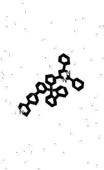 c1ccc(-c2cc(-c3cccc(C4(c5cccc(-c6ccc(-c7ccncc7)cc6)c5)c5ccccc5-c5ccccc54)c3)nc(-c3ccccc3)n2)cc1